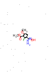 COC(=O)c1c(OC)ccc(/C(N)=N/O)c1F